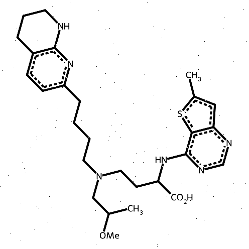 COC(C)CN(CCCCc1ccc2c(n1)NCCC2)CCC(Nc1ncnc2cc(C)sc12)C(=O)O